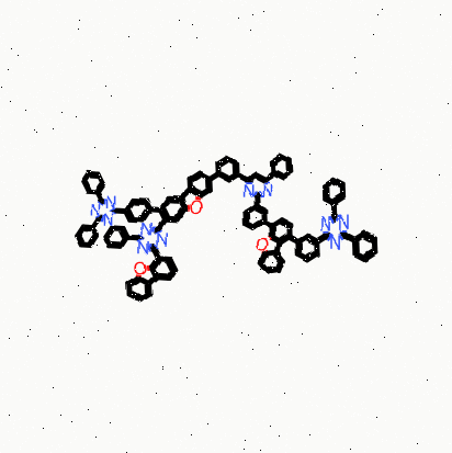 c1ccc(-c2cc(-c3cccc(-c4ccc5c(c4)oc4cc(-c6nc(-c7ccccc7)nc(-c7cccc8c7oc7ccccc78)n6)c(-c6ccc(-c7nc(-c8ccccc8)nc(-c8ccccc8)n7)cc6)cc45)c3)nc(-c3cccc(-c4ccc(-c5cccc(-c6nc(-c7ccccc7)nc(-c7ccccc7)n6)c5)c5c4oc4ccccc45)c3)n2)cc1